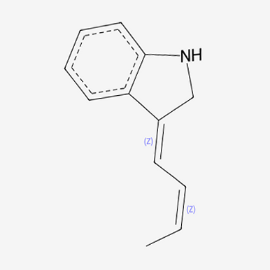 C/C=C\C=C1/CNc2ccccc21